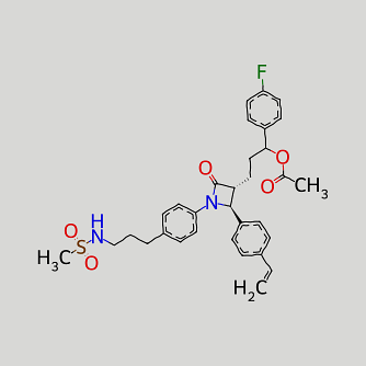 C=Cc1ccc([C@@H]2[C@@H](CCC(OC(C)=O)c3ccc(F)cc3)C(=O)N2c2ccc(CCCNS(C)(=O)=O)cc2)cc1